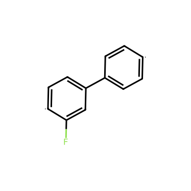 Fc1[c]ccc(-c2cc[c]cc2)c1